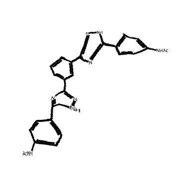 CC(=O)Nc1ccc(-c2nc(-c3cccc(-c4n[nH]c(-c5ccc(NC(C)=O)cc5)n4)c3)n[nH]2)cc1